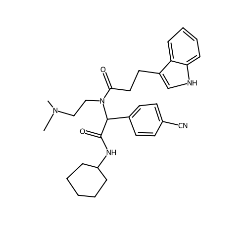 CN(C)CCN(C(=O)CCc1c[nH]c2ccccc12)C(C(=O)NC1CCCCC1)c1ccc(C#N)cc1